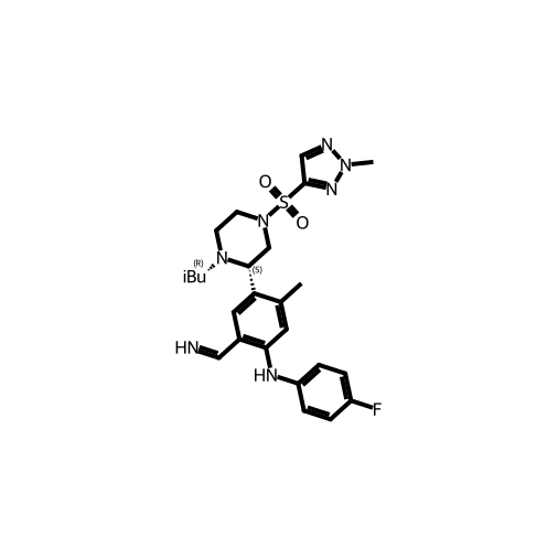 CC[C@@H](C)N1CCN(S(=O)(=O)c2cnn(C)n2)C[C@@H]1c1cc(C=N)c(Nc2ccc(F)cc2)cc1C